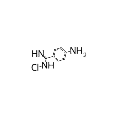 N=C(NCl)c1ccc(N)cc1